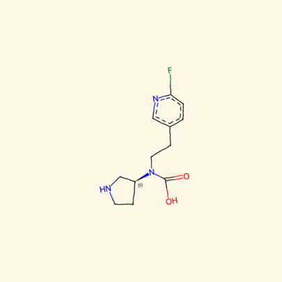 O=C(O)N(CCc1ccc(F)nc1)[C@H]1CCNC1